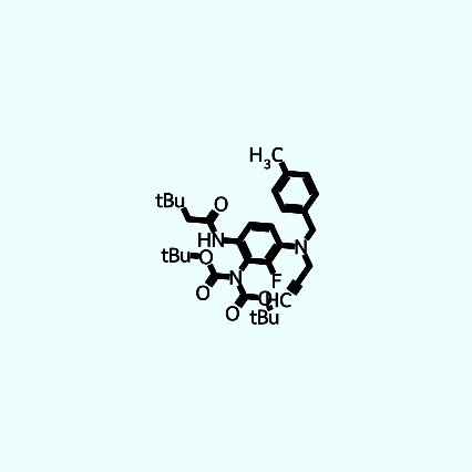 C#CCN(Cc1ccc(C)cc1)c1ccc(NC(=O)CC(C)(C)C)c(N(C(=O)OC(C)(C)C)C(=O)OC(C)(C)C)c1F